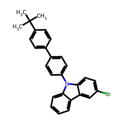 CC(C)(C)c1ccc(-c2ccc(-n3c4ccccc4c4cc(Br)ccc43)cc2)cc1